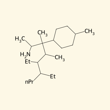 CCCC(CC)C(CC)C(C)C(C)(C(C)N)C1CCC(C)CC1